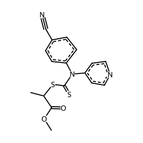 COC(=O)C(C)SC(=S)N(c1ccncc1)c1ccc(C#N)cc1